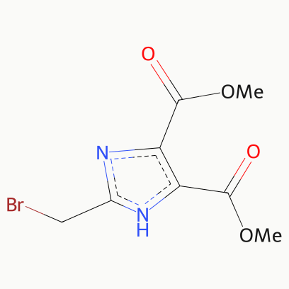 COC(=O)c1nc(CBr)[nH]c1C(=O)OC